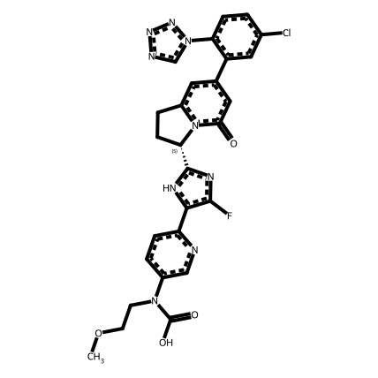 COCCN(C(=O)O)c1ccc(-c2[nH]c([C@@H]3CCc4cc(-c5cc(Cl)ccc5-n5cnnn5)cc(=O)n43)nc2F)nc1